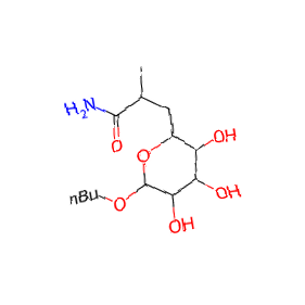 CCCCOC1OC(CC(C)C(N)=O)C(O)C(O)C1O